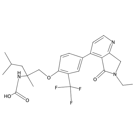 CCN1Cc2nccc(-c3ccc(OCC(C)(CC(C)C)NC(=O)O)c(C(F)(F)F)c3)c2C1=O